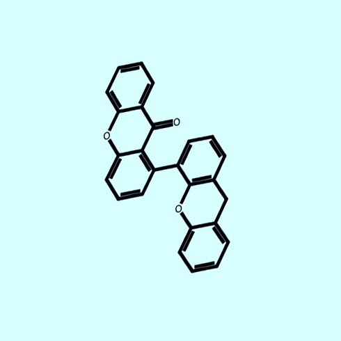 O=c1c2ccccc2oc2cccc(-c3cccc4c3Oc3ccccc3C4)c12